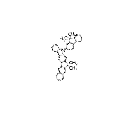 CC1(C)c2ccccc2-c2ccc(-n3c4ccccc4c4cc5c(cc43)C(C)(C)c3cc4ccccc4cc3-5)cc21